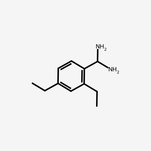 CCc1ccc(C(N)N)c(CC)c1